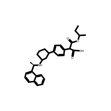 CCC(C)OC(=O)C(C(=O)O)c1ccc(C2CCCC(N[C@H](C)c3cccc4ccccc34)C2)cc1